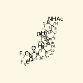 CC(=O)N[C@H]1CC[C@@]2(C)C(CC[C@]3(C)[C@@H]2C(=O)C=C2[C@@H]4C[C@@](C)(C(=O)N(OC(F)(F)F)C(F)(F)F)CC[C@]4(C)CC[C@]23C)C1(C)C